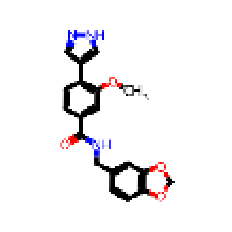 COc1cc(C(=O)NCc2ccc3c(c2)OCO3)ccc1-c1cn[nH]c1